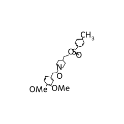 COc1ccc(CC(=O)N2CCC(CCOS(=O)c3ccc(C)cc3)CC2)cc1OC